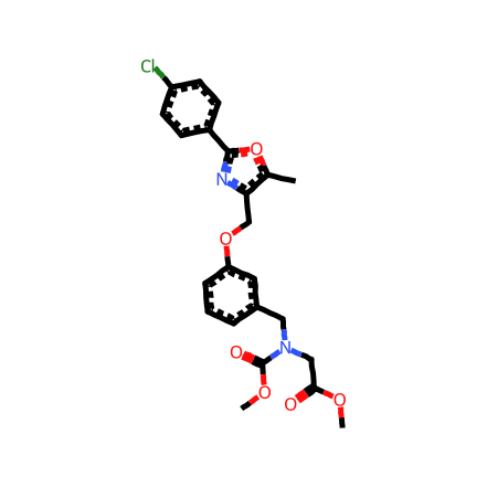 COC(=O)CN(Cc1cccc(OCc2nc(-c3ccc(Cl)cc3)oc2C)c1)C(=O)OC